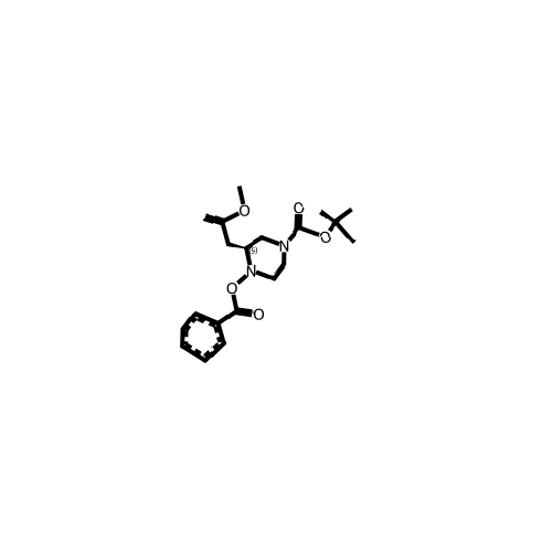 C=C(C[C@H]1CN(C(=O)OC(C)(C)C)CCN1OC(=O)c1ccccc1)OC